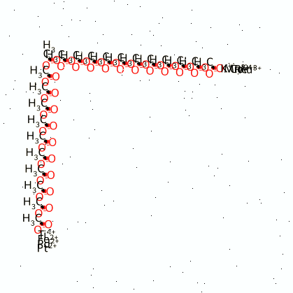 CC(=O)[O-].CC(=O)[O-].CC(=O)[O-].CC(=O)[O-].CC(=O)[O-].CC(=O)[O-].CC(=O)[O-].CC(=O)[O-].CC(=O)[O-].CC(=O)[O-].CC(=O)[O-].CC(=O)[O-].CC(=O)[O-].CC(=O)[O-].CC(=O)[O-].CC(=O)[O-].CC(=O)[O-].CC(=O)[O-].CC(=O)[O-].CC(=O)[O-].CC(=O)[O-].CC(=O)[O-].[Au+3].[Co+2].[Fe+2].[K+].[Mn+2].[Pd+2].[Pt+2].[Re+4].[Ti+4]